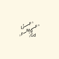 [F][Mg][F].[Gd].[Li][F]